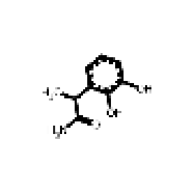 CC(C(N)=O)c1cccc(O)c1O